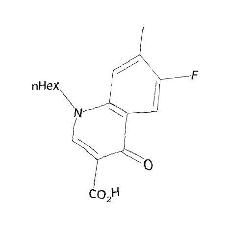 CCCCCCn1cc(C(=O)O)c(=O)c2cc(F)c(C)cc21